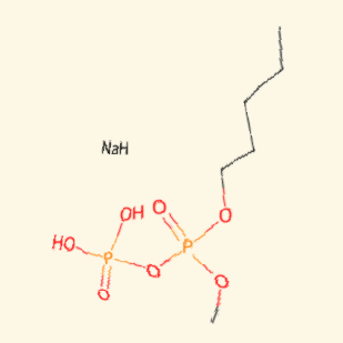 CCCCCOP(=O)(OC)OP(=O)(O)O.[NaH]